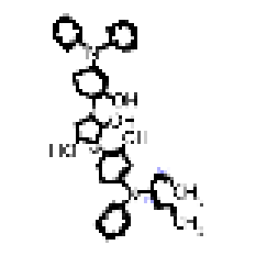 C=C/C=C(\C=C/C)N(C1=CC(O)=C([C@H]2C(O)C[C@@H](C3=C(O)C=C(N(c4ccccc4)c4ccccc4)CC3)C2O)CC1)c1ccccc1